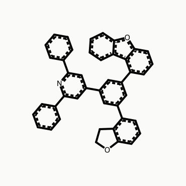 c1ccc(-c2cc(-c3cc(-c4cccc5c4CCO5)cc(-c4cccc5oc6ccccc6c45)c3)cc(-c3ccccc3)n2)cc1